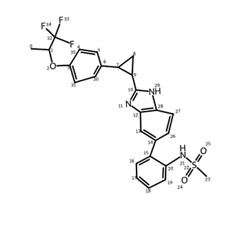 CC(Oc1ccc(C2CC2c2nc3cc(-c4ccccc4NS(C)(=O)=O)ccc3[nH]2)cc1)C(F)(F)F